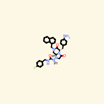 CC(C)N(C(=O)NCc1ccc(F)cc1)N1CC(=O)N2[C@@H](Cc3ccc(N)cc3)C(=O)N(Cc3cccc4ccccc34)C[C@@H]21